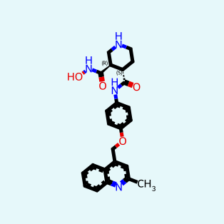 Cc1cc(COc2ccc(NC(=O)[C@H]3CCNC[C@@H]3C(=O)NO)cc2)c2ccccc2n1